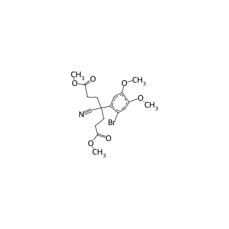 COC(=O)CCC(C#N)(CCC(=O)OC)c1cc(OC)c(OC)cc1Br